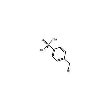 CC(C)(C)[SH](=O)(c1ccc(CBr)cc1)C(C)(C)C